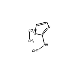 CC(=O)O.O=CNc1nccs1